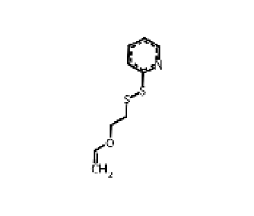 C=COCCSSc1ccccn1